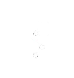 COc1cc(CN2CCCCCCOc3ccccc3Oc3ccc(Cl)cc3NC(=O)C2)ccc1OCCN(C)C